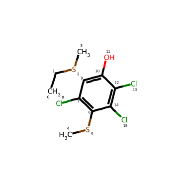 CCSC.CSc1c(Cl)cc(O)c(Cl)c1Cl